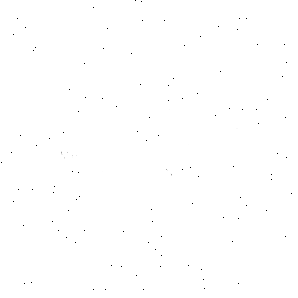 CSC(C)c1nc(C(C)I)sc1F